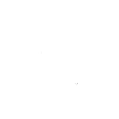 COc1ccc(Oc2c[c]c(F)cc2Cl)cc1